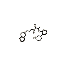 CC(Oc1ccccc1C1CCCNC1)C(=O)NCCCN1CCc2ccccc2C1